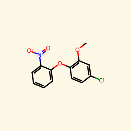 COc1cc(Cl)ccc1Oc1ccccc1[N+](=O)[O-]